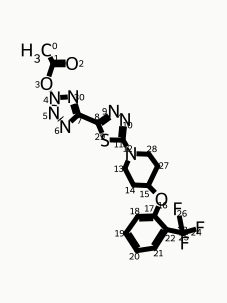 CC(=O)On1nnc(-c2nnc(N3CCC(Oc4ccccc4C(F)(F)F)CC3)s2)n1